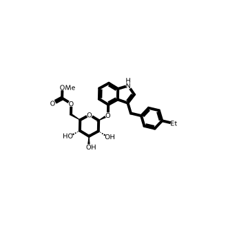 CCc1ccc(Cc2c[nH]c3cccc(O[C@@H]4O[C@H](COC(=O)OC)[C@@H](O)[C@H](O)[C@H]4O)c23)cc1